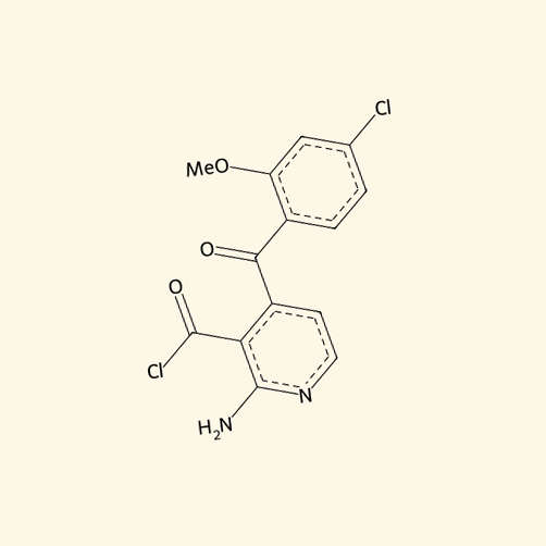 COc1cc(Cl)ccc1C(=O)c1ccnc(N)c1C(=O)Cl